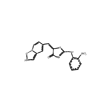 O=C1N=C(Nc2ccccc2[N+](=O)[O-])SC1=CC1=CC2=CNON2C=C1